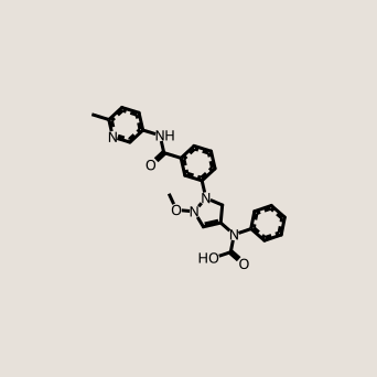 CON1C=C(N(C(=O)O)c2ccccc2)CN1c1cccc(C(=O)Nc2ccc(C)nc2)c1